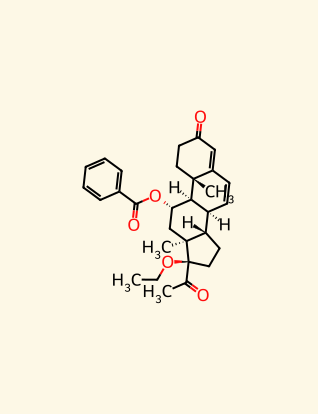 CCO[C@]1(C(C)=O)CC[C@H]2[C@@H]3C=CC4=CC(=O)CC[C@@]4(C)[C@@H]3[C@@H](OC(=O)c3ccccc3)C[C@@]21C